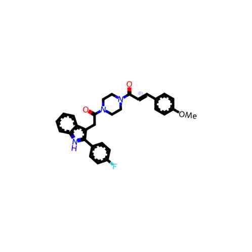 COc1ccc(/C=C/C(=O)N2CCN(C(=O)Cc3c(-c4ccc(F)cc4)[nH]c4ccccc34)CC2)cc1